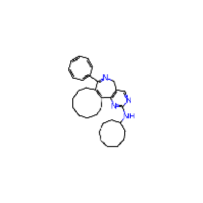 C1=C\C=C/C(C2=NCc3cnc(NC4CCCCCCCC4)nc3C3=C2CCCCCCCC3)=C\C=C/1